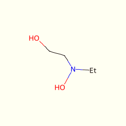 CCN(O)CCO